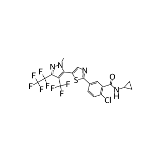 Cn1nc(C(F)(F)C(F)(F)F)c(C(F)(F)F)c1-c1cnc(-c2ccc(Cl)c(C(=O)NC3CC3)c2)s1